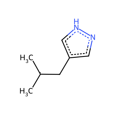 C[C](C)Cc1cn[nH]c1